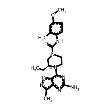 CC[C@H]1CN(C(=O)Nc2ccc(OC)cc2C)CCN1c1nc(N)nc2c(C)noc12